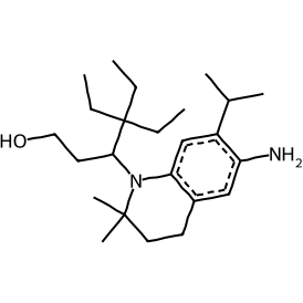 CCC(CC)(CC)C(CCO)N1c2cc(C(C)C)c(N)cc2CCC1(C)C